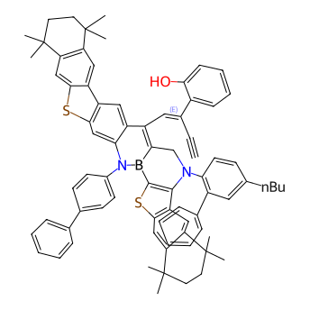 C#C/C(=C\C1=C2CN(c3ccc(CCCC)cc3-c3ccccc3)c3c(sc4cc5c(cc34)C(C)(C)CCC5(C)C)B2N(c2ccc(-c3ccccc3)cc2)c2cc3sc4cc5c(cc4c3cc21)C(C)(C)CCC5(C)C)c1ccccc1O